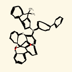 CC1(C)c2ccccc2-c2ccc(N(c3ccc(-c4ccccc4)cc3)c3cccc4c3OC3C=CC=CC3C43c4ccccc4-c4ccccc4-c4ccccc43)cc21